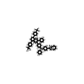 CC(C)(C)c1ccc(-c2ccc(-c3ccc(C(C)(C)C)cc3)c3nc(-c4ccc(N(c5ccccc5)c5ccc(-c6cn7ccccc7n6)cc5)cc4)c(-c4ccccc4)nc23)cc1